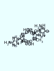 C[C@H]1[C@@H]2COP(=O)(O)O[C@H]3[C@@H](F)[C@H](n4cnc5c(N)ncnc54)O[C@@H]3COP(=O)(O)O[C@H]2[C@@H](O)[C@@H]1n1cnc2c(=O)[nH]c(N)nc21